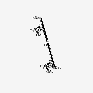 CCCCCCCCCCCCCC(CCCCCCCCCCOC(=O)CCCCCCCCCC(CCCCCCCCCCCCC)OC(=O)C[N+](C)(C)CCOC(C)=O)OC(=O)C[N+](C)(C)CCOC(C)=O